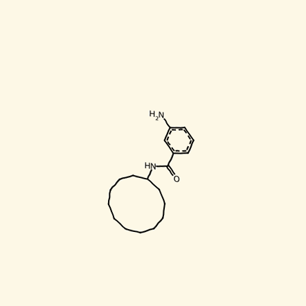 Nc1cccc(C(=O)NC2CCCCCCCCCCC2)c1